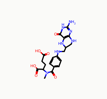 CN(C(=O)c1ccc(NCC2CNc3nc(N)[nH]c(=O)c3N2)cc1)C(CCC(=O)O)C(=O)O